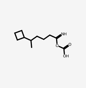 CC(CCCC(=N)OC(=O)O)C1CCC1